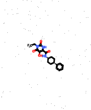 O=C(N[C@H]1CC[C@@H](c2ccccc2)CC1)c1[nH]c(=O)n(CC(F)(F)F)c(=O)c1O